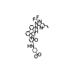 C=Cc1cnc2c(Nc3cccc(-c4cccc(-c5ccc(CNC6CCC(C(=O)OC)CC6)c(OC)n5)c4Cl)c3C)nc(C(F)F)nc2c1